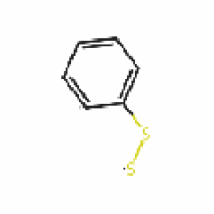 [S]Sc1[c]cccc1